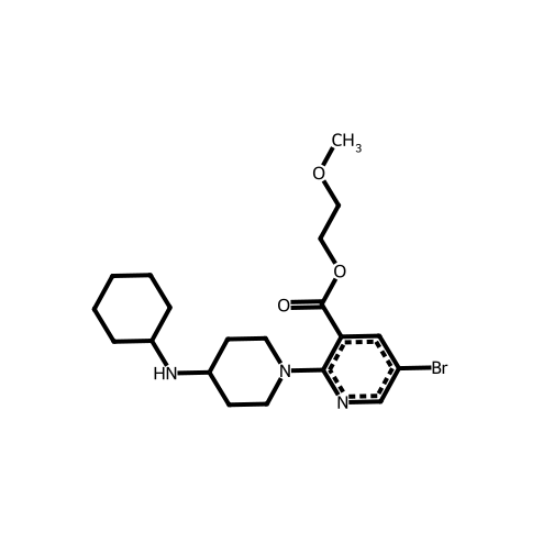 COCCOC(=O)c1cc(Br)cnc1N1CCC(NC2CCCCC2)CC1